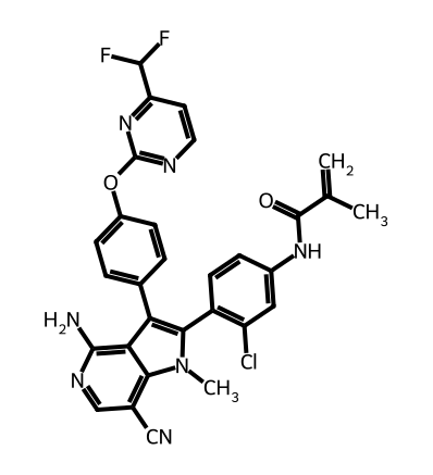 C=C(C)C(=O)Nc1ccc(-c2c(-c3ccc(Oc4nccc(C(F)F)n4)cc3)c3c(N)ncc(C#N)c3n2C)c(Cl)c1